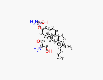 CC(C)CCC[C@@H](C)[C@H]1CCC2C3CC=C4CC(OP(N)O)CC[C@]4(C)C3CC[C@@]21C.NC(CO)CO